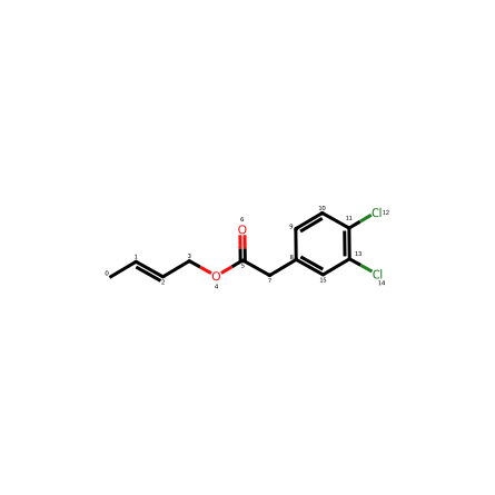 CC=CCOC(=O)Cc1ccc(Cl)c(Cl)c1